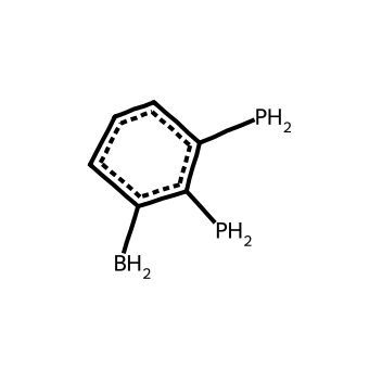 Bc1cccc(P)c1P